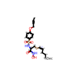 CC#CCOc1ccc(S(=O)(=O)NC(CS/C=C\CCCCCCCCCCCC)C(=O)NO)cc1